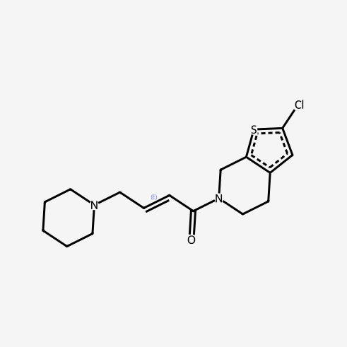 O=C(/C=C/CN1CCCCC1)N1CCc2cc(Cl)sc2C1